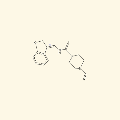 C=CN1CCN(C(=S)N/C=C2/COc3ccccc32)CC1